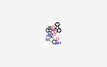 N#C[C@H](C[C@H]1CCCNC1=O)NC(=O)[C@H]1[C@@H]2CCC[C@@H]2CN1C(=O)C1(O)c2ccccc2-c2ccccc21